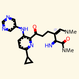 CN/C=C(/CCC(=O)c1nc(C2CC2)ccc1Nc1cncnc1)C(=N)C(=O)NC